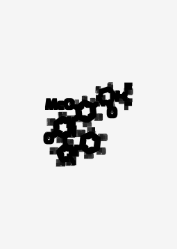 COc1cc(N2CCN(C(F)F)C2=O)ccc1-n1ccc(=O)c(-c2ccnn2-c2ccccc2)n1